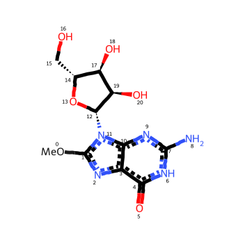 COc1nc2c(=O)[nH]c(N)nc2n1[C@@H]1O[C@H](CO)[C@@H](O)[C@H]1O